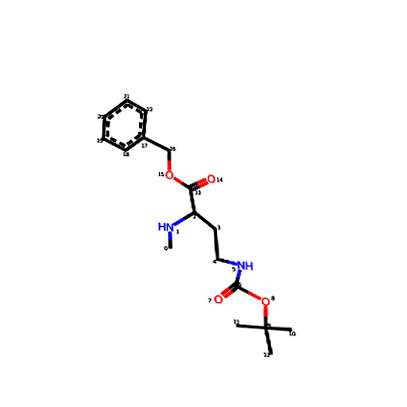 CNC(CCNC(=O)OC(C)(C)C)C(=O)OCc1ccccc1